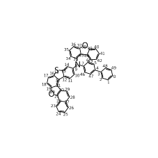 c1ccc(-c2ccc(N(c3ccc4c(c3)sc3ccc5oc6c7ccccc7ccc6c5c34)c3cccc4oc5ccccc5c34)cc2)cc1